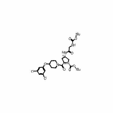 CC(C)(C)OC(=O)NCC(=O)N[C@H]1C[C@H](C(=O)N2CCC(Oc3cc(Cl)cc(Cl)c3)CC2)N(C(=O)OC(C)(C)C)C1